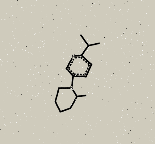 CC(C)c1ccc(N2CCCCC2C)cn1